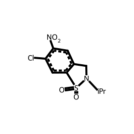 CC(C)N1Cc2cc([N+](=O)[O-])c(Cl)cc2S1(=O)=O